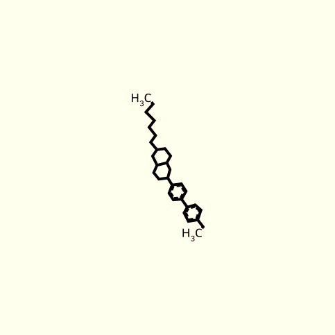 CCCCCCCC1CCC2CC(c3ccc(-c4ccc(CC)cc4)cc3)CCC2C1